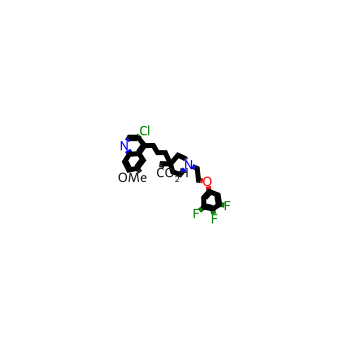 COc1ccc2ncc(Cl)c(CCCC3(CC(=O)O)CCN(CCOc4cc(F)c(F)c(F)c4)CC3)c2c1